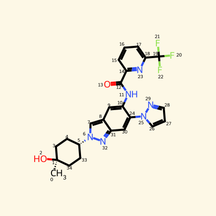 C[C@]1(O)CC[C@H](n2cc3cc(NC(=O)c4cccc(C(F)(F)F)n4)c(-n4cccn4)cc3n2)CC1